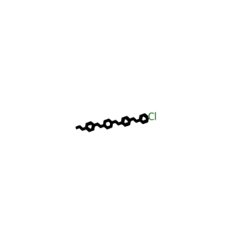 CCCc1ccc(CCC2CCC(CCc3ccc(CCc4ccc(Cl)cc4)cc3)CC2)cc1